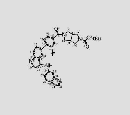 CC(C)(C)OC(=O)N1CC2CN(C(=O)c3ccc(-c4ccc5nccc(Nc6ccc7scnc7c6)c5c4)c(F)c3)CC2C1